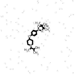 CC(O)C(C)N1CCC(Oc2ccc(B3OC(C)(C)C(C)(C)O3)cc2)CC1